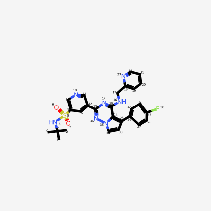 CC(C)(C)NS(=O)(=O)c1cncc(-c2nc(NCc3ccccn3)c3c(-c4ccc(F)cc4)ccn3n2)c1